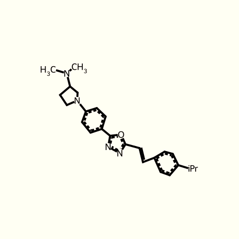 CC(C)c1ccc(/C=C/c2nnc(-c3ccc(N4CCC(N(C)C)C4)cc3)o2)cc1